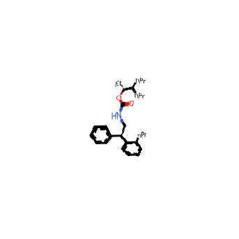 CCCc1ccccc1[C@H](CNC(=O)O[C@H](CC)C(CCC)CCC)c1ccccc1